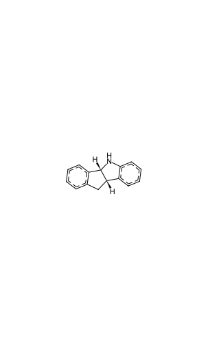 c1ccc2c(c1)C[C@H]1c3ccccc3N[C@@H]21